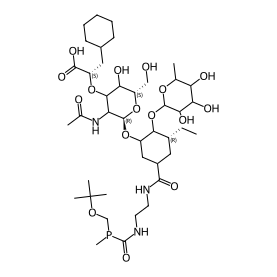 CC[C@@H]1CC(C(=O)NCCNC(=O)P(C)COC(C)(C)C)CC(O[C@@H]2O[C@@H](CO)C(O)C(O[C@@H](CC3CCCCC3)C(=O)O)C2NC(C)=O)C1OC1OC(C)C(O)C(O)C1O